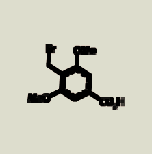 COc1cc(C(=O)O)cc(OC)c1CBr